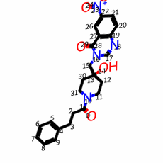 O=C(CCc1ccccc1)N1CCC(O)(Cn2cnc3ccc([N+](=O)[O-])cc3c2=O)CC1